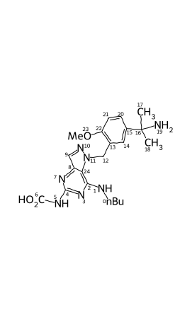 CCCCNc1nc(NC(=O)O)nc2cnn(Cc3cc(C(C)(C)N)ccc3OC)c12